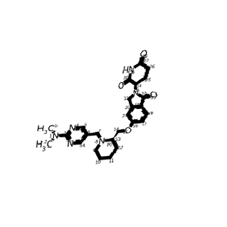 CN(C)c1ncc(CN2CCCC[C@@H]2COc2ccc3c(c2)CN(C2CCC(=O)NC2=O)C3=O)cn1